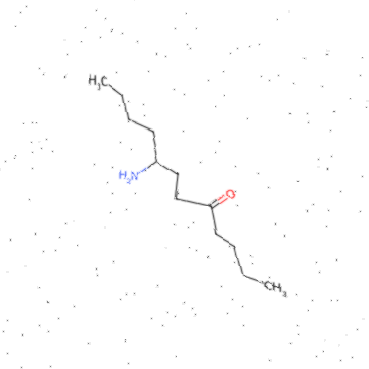 CCCCC(=O)CCC(N)CCCC